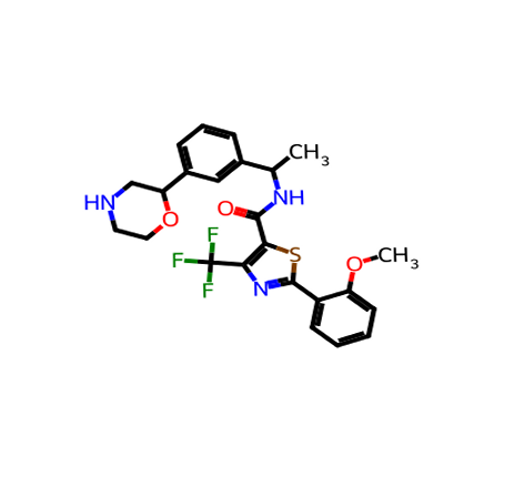 COc1ccccc1-c1nc(C(F)(F)F)c(C(=O)NC(C)c2cccc(C3CNCCO3)c2)s1